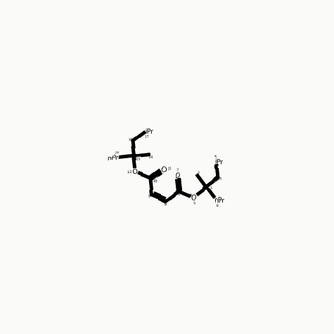 CCCC(C)(CC(C)C)OC(=O)/C=C\C(=O)OC(C)(CCC)CC(C)C